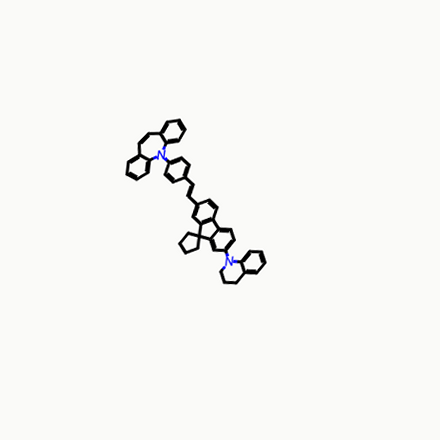 C1=Cc2ccccc2N(c2ccc(/C=C/c3ccc4c(c3)C3(CCCC3)c3cc(N5CCCc6ccccc65)ccc3-4)cc2)c2ccccc21